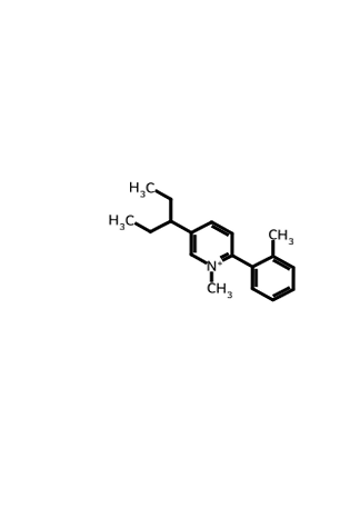 CCC(CC)c1ccc(-c2ccccc2C)[n+](C)c1